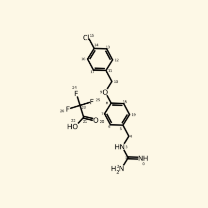 N=C(N)NCc1ccc(OCc2ccc(Cl)cc2)cc1.O=C(O)C(F)(F)F